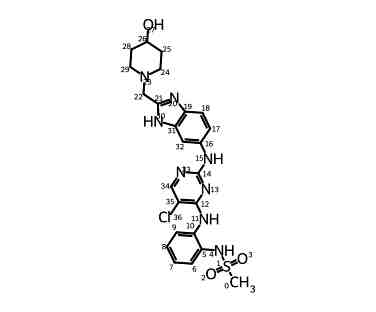 CS(=O)(=O)Nc1ccccc1Nc1nc(Nc2ccc3nc(CN4CCC(O)CC4)[nH]c3c2)ncc1Cl